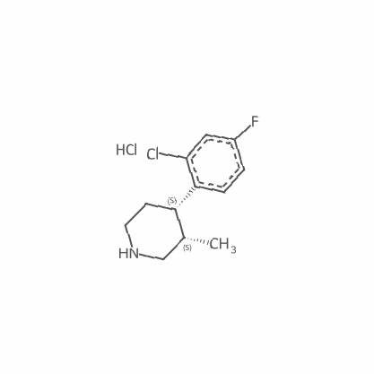 C[C@@H]1CNCC[C@@H]1c1ccc(F)cc1Cl.Cl